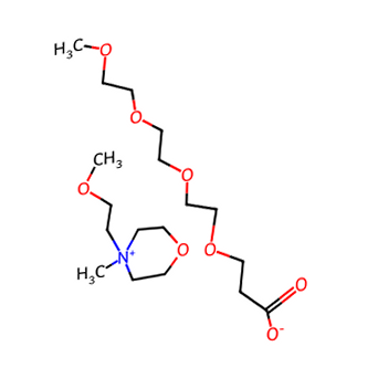 COCCOCCOCCOCCC(=O)[O-].COCC[N+]1(C)CCOCC1